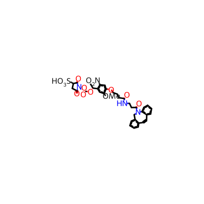 COc1cc(C(C)OC(=O)ON2C(=O)CC(S(=O)(=O)O)C2=O)c([N+](=O)[O-])cc1OCCCC(=O)NCCC(=O)N1Cc2ccccc2C#Cc2ccccc21